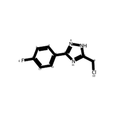 Fc1ccc(-c2n[nH]c(CCl)n2)cc1